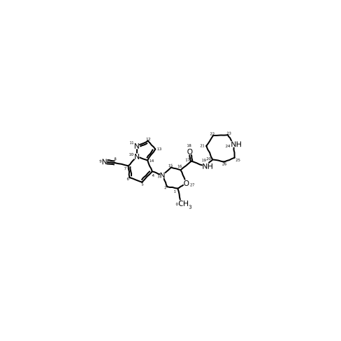 CC1CN(c2ccc(C#N)n3nccc23)CC(C(=O)NC2CCCNCC2)O1